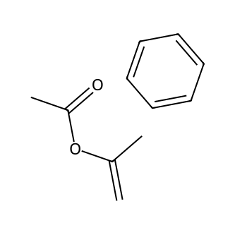 C=C(C)OC(C)=O.c1ccccc1